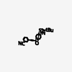 CC(C)(C)c1csc(N2CCN(C(=O)C#Cc3cccc(C#N)c3)CC2)n1